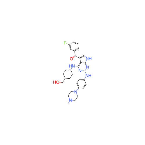 CN1CCN(c2ccc(Nc3nc(NC4CCC(CO)CC4)c4c(C(=O)c5cccc(F)c5)c[nH]c4n3)cc2)CC1